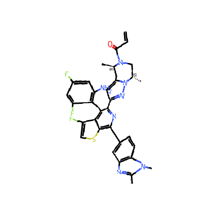 C=CC(=O)N1C[C@H](C)n2nc(-c3nc(-c4ccc5c(c4)nc(C)n5C)c4scc(F)c4c3-c3c(N)cc(F)cc3F)cc2[C@H]1C